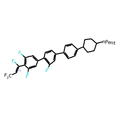 CCCCCC1CCC(c2ccc(-c3ccc(-c4cc(F)c(/C(F)=C/C(F)(F)F)c(F)c4)c(F)c3)cc2)CC1